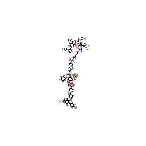 Cc1ncsc1-c1ccc([C@H](C)NC(=O)[C@@H]2C[C@@H](O)CN2C(=O)C(NC(=O)CCCCCCCC(=O)N2CC3CN(CCC(CSc4ccccc4)Nc4ccc(S(=O)(=O)NC(=O)c5ccc(N6CCN(CC7=C(c8ccc(Cl)cc8)CCC(C)(C)C7)CC6)cc5)cc4S(=O)(=O)C(F)(F)F)CC3C2)C(C)(C)C)cc1